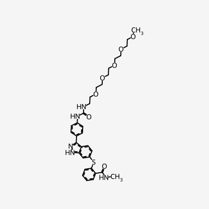 CNC(=O)c1ccccc1Sc1ccc2c(-c3ccc(NC(=O)NCCOCCOCCOCCOCCOC)cc3)n[nH]c2c1